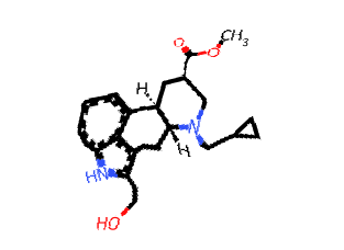 COC(=O)[C@@H]1C[C@@H]2c3cccc4[nH]c(CO)c(c34)C[C@H]2N(CC2CC2)C1